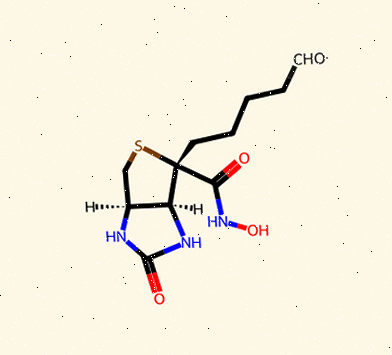 O=[C]CCCC[C@]1(C(=O)NO)SC[C@@H]2NC(=O)N[C@@H]21